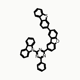 c1ccc(-c2nc(-c3ccc4oc5ccc(-c6ccc7c(c6)sc6ccccc67)cc5c4c3)nc(-n3c4ccccc4c4ccccc43)n2)cc1